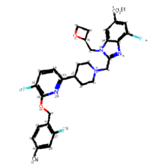 CCOC(=O)c1cc(F)c2nc(CN3CCC(c4ccc(F)c(OCc5ccc(C#N)cc5F)n4)CC3)n(C[C@@H]3CCO3)c2c1